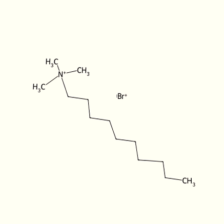 CCCCCCCCCC[N+](C)(C)C.[Br+]